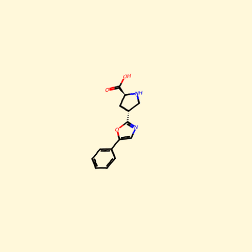 O=C(O)[C@@H]1C[C@@H](c2ncc(-c3ccccc3)o2)CN1